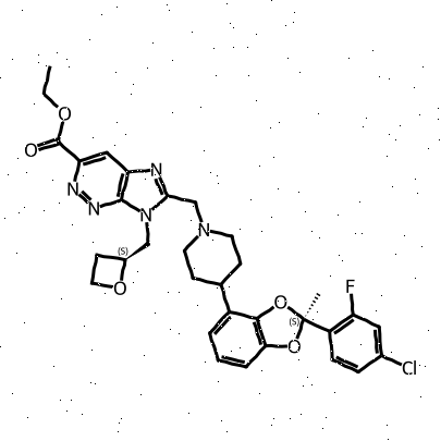 CCOC(=O)c1cc2nc(CN3CCC(c4cccc5c4O[C@@](C)(c4ccc(Cl)cc4F)O5)CC3)n(C[C@@H]3CCO3)c2nn1